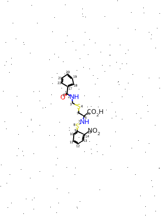 O=C(NCSCC(NSc1ccccc1[N+](=O)[O-])C(=O)O)c1ccccc1